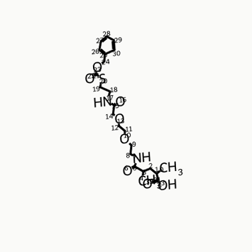 CC(CC(C)C(=O)NCCOCCOCC(=O)NCCSC(=O)OCc1ccccc1)C(=O)O